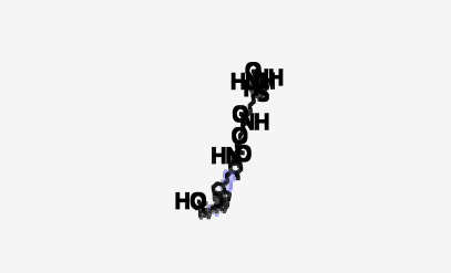 C=C1CC[C@@H](NC(=O)CCOCCNC(=O)CCCC[C@@H]2SC[C@@H]3NC(=O)N[C@@H]32)C/C1=C/C=C1\CCC[C@@]2(C)C1CC[C@@H]2[C@H](C)/C=C/[C@H](C)C(C)(C)O